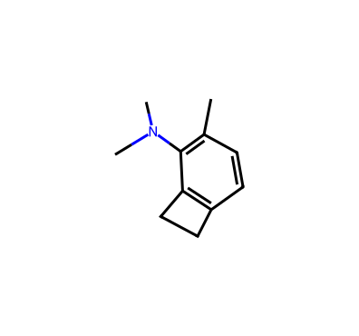 Cc1ccc2c(c1N(C)C)CC2